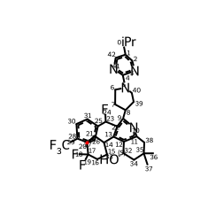 CC(C)c1cnc(N2CCC(c3nc4c(c(C5CCC(F)(F)CC5)c3C(F)c3ccc(C(F)(F)F)cc3)[C@@H](O)CC(C)(C)C4)CC2)nc1